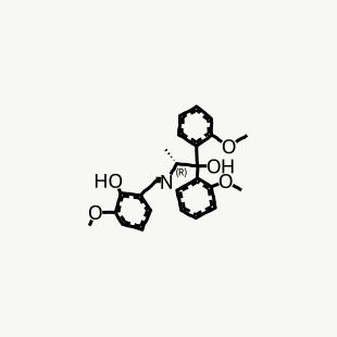 COc1ccccc1C(O)(c1ccccc1OC)[C@@H](C)N=Cc1cccc(OC)c1O